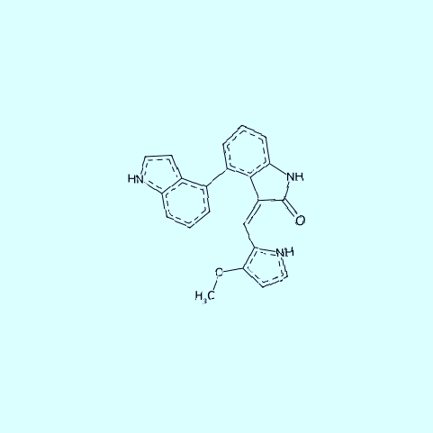 COc1cc[nH]c1/C=C1\C(=O)Nc2cccc(-c3cccc4[nH]ccc34)c21